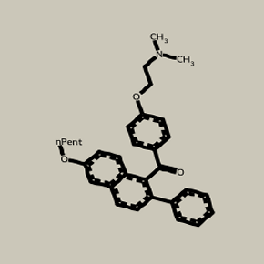 CCCCCOc1ccc2c(C(=O)c3ccc(OCCN(C)C)cc3)c(-c3ccccc3)ccc2c1